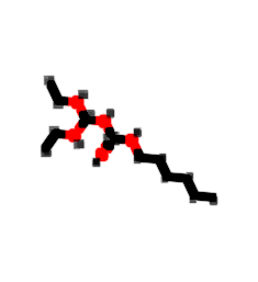 CCCCCC[O][Ti](=[O])[O]C(OCC)OCC